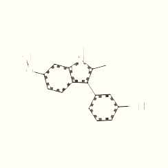 Cc1[nH]c2cc(OC(F)(F)F)ccc2c1-c1cccc(O)c1